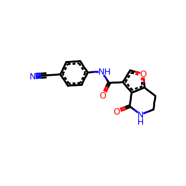 N#Cc1ccc(NC(=O)c2coc3c2C(=O)NCC3)cc1